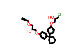 C#CCOC[C@@H](O)COc1ccc(C2(c3ccc(OC[C@H](O)CCl)cc3)CCCCC2)cc1